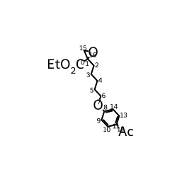 CCOC(=O)C1(CCCCCOc2ccc(C(C)=O)cc2)CO1